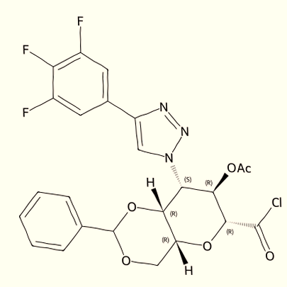 CC(=O)O[C@@H]1[C@@H](n2cc(-c3cc(F)c(F)c(F)c3)nn2)[C@H]2OC(c3ccccc3)OC[C@H]2O[C@H]1C(=O)Cl